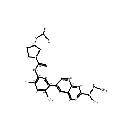 CPN(C)c1ncc2cc(-c3cc(NC(=O)N4CC[C@H](OC(F)F)C4)c(F)cc3C)cnc2n1